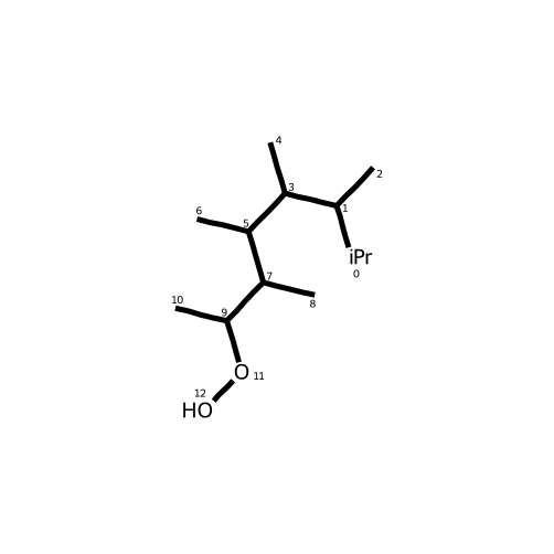 CC(C)C(C)C(C)C(C)C(C)C(C)OO